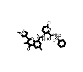 Cc1cc([C@@H](C)Nc2ccc(Cl)nc2C(O)NS(=O)(=O)c2ccccc2)c2oc(-c3cnn(C)c3)c(C)c(=O)c2c1